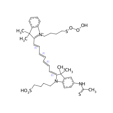 CC(=S)Nc1ccc2c(c1)C(C)(C)\C(=C/C=C/C=C/C=C/C1=[N+](CCCCSOOO)c3ccccc3C1(C)C)N2CCCCS(=O)(=O)O